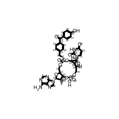 Nc1ncnc2c1ncn2[C@@H]1OC2COP(=O)(SCc3ccc(C(=O)c4ccc(O)cc4)cc3)O[C@@H]3[C@H](F)[C@@H](COP(=O)(O)O[C@H]2[C@H]1F)O[C@H]3n1ccc(=O)[nH]c1=O